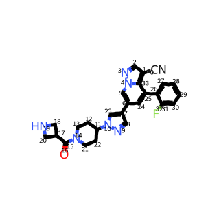 N#Cc1cnn2cc(-c3cnn(C4CCN(C(=O)C5CNC5)CC4)c3)cc(-c3ccccc3F)c12